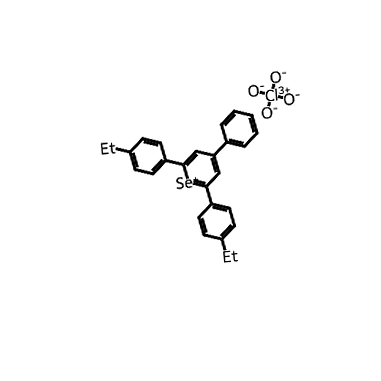 CCc1ccc(-c2cc(-c3ccccc3)cc(-c3ccc(CC)cc3)[se+]2)cc1.[O-][Cl+3]([O-])([O-])[O-]